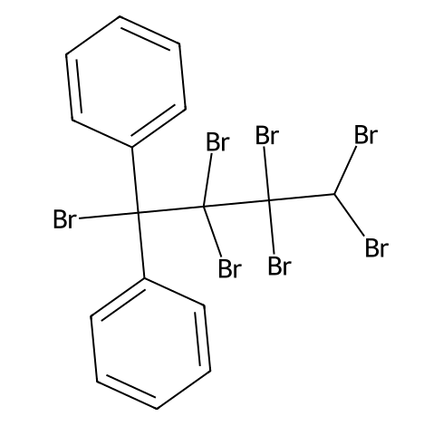 BrC(Br)C(Br)(Br)C(Br)(Br)C(Br)(c1ccccc1)c1ccccc1